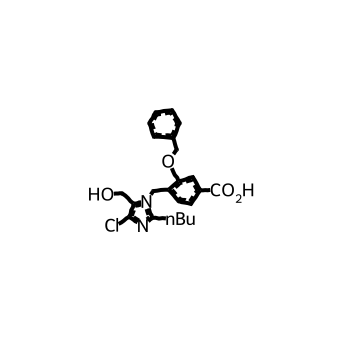 CCCCc1nc(Cl)c(CO)n1Cc1ccc(C(=O)O)cc1OCc1ccccc1